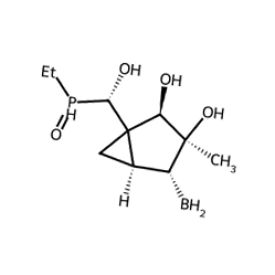 B[C@@H]1[C@H]2CC2([C@@H](O)[PH](=O)CC)[C@@H](O)[C@@]1(C)O